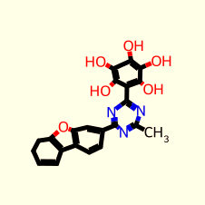 Cc1nc(-c2ccc3c4c(oc3c2)CCC=C4)nc(-c2c(O)c(O)c(O)c(O)c2O)n1